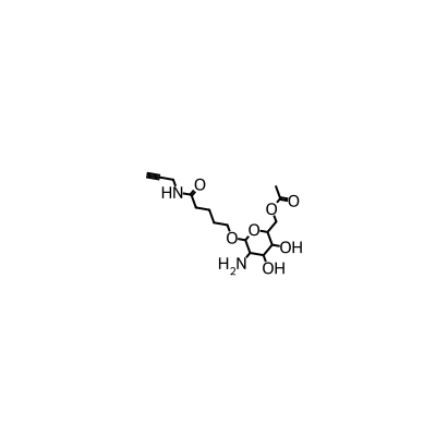 C#CCNC(=O)CCCCOC1OC(COC(C)=O)C(O)C(O)C1N